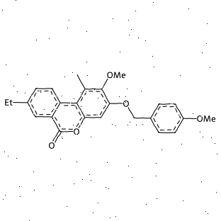 CCc1ccc2c(c1)c(=O)oc1cc(OCc3ccc(OC)cc3)c(OC)c(C)c12